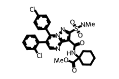 CNS(=O)(=O)c1nn2c(-c3ccc(Cl)cc3)c(-c3ccccc3Cl)cnc2c1C(=O)NC1(C(=O)OC)CCCCC1